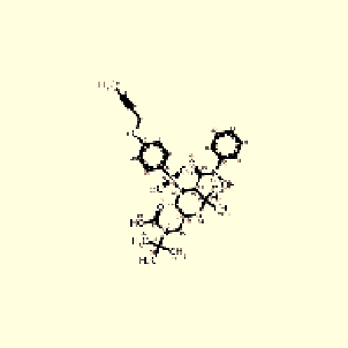 CC#CCOc1ccc(S(=O)(=O)N2C[C@H](CN(C(=O)O)C(C)(C)C)SC(C)(C)[C@@H]2C(=O)N(O)c2ccccc2)cc1